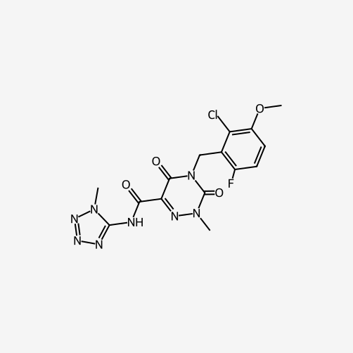 COc1ccc(F)c(Cn2c(=O)c(C(=O)Nc3nnnn3C)nn(C)c2=O)c1Cl